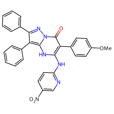 COc1ccc(-c2c(Nc3ccc([N+](=O)[O-])cn3)[nH]c3c(-c4ccccc4)c(-c4ccccc4)nn3c2=O)cc1